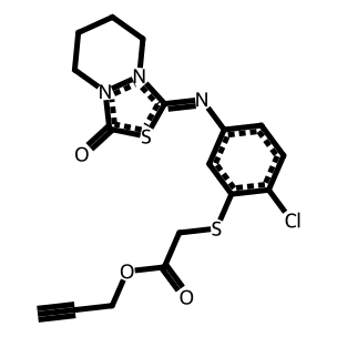 C#CCOC(=O)CSc1cc(/N=c2\sc(=O)n3n2CCCC3)ccc1Cl